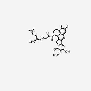 Cc1c(F)cc2nc3c(c4c2c1CC[C@@H]4NC(=O)COCN(C=O)CCN(C)C)Cn1c-3cc(O)c(CO)c1=O